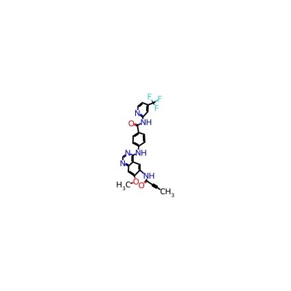 CC#CC(=O)Nc1cc2c(Nc3ccc(C(=O)Nc4cc(C(F)(F)F)ccn4)cc3)ncnc2cc1OC